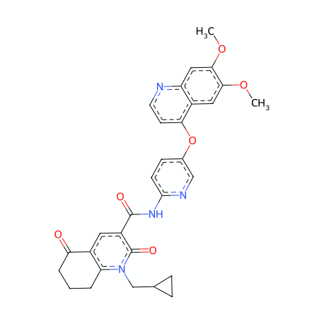 COc1cc2nccc(Oc3ccc(NC(=O)c4cc5c(n(CC6CC6)c4=O)CCCC5=O)nc3)c2cc1OC